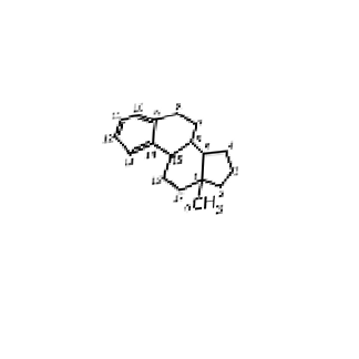 CC12CCCC1C1CCc3ccccc3C1CC2